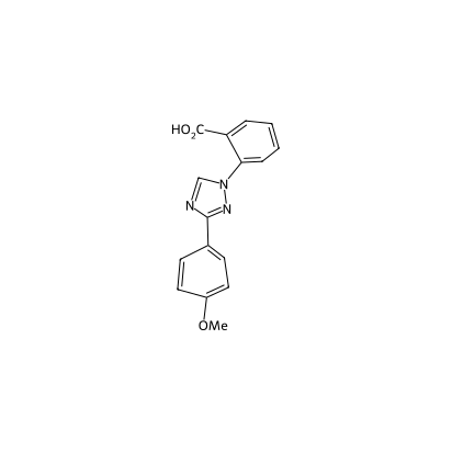 COc1ccc(-c2ncn(-c3ccccc3C(=O)O)n2)cc1